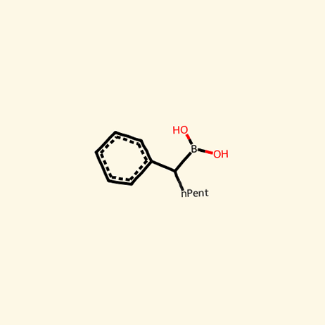 CCCCCC(B(O)O)c1ccccc1